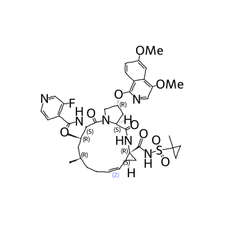 COc1ccc2c(O[C@@H]3C[C@H]4C(=O)N[C@]5(C(=O)NS(=O)(=O)C6(C)CC6)C[C@H]5/C=C\CC[C@@H](C)C[C@@H](C)[C@H](NC(=O)c5ccncc5F)C(=O)N4C3)ncc(OC)c2c1